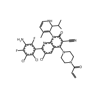 C=CC(=O)N1CCN(c2c(C#N)c(=O)n(C3=C(C)C=CNC3C(C)C)c3nc(-c4c(F)c(N)c(F)c(Cl)c4Cl)c(Cl)cc23)CC1